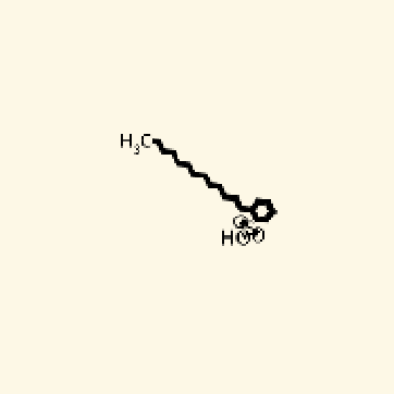 CCCCCCCCCCCCCc1ccccc1S(=O)(=O)O